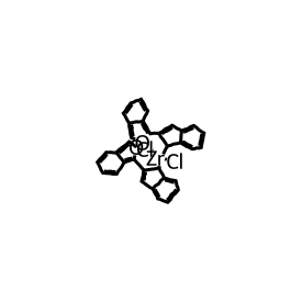 [Cl][Zr]([Cl])([CH]1C(c2occ3ccccc23)=Cc2ccccc21)[CH]1C(c2occ3ccccc23)=Cc2ccccc21